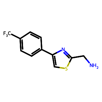 NCc1nc(-c2ccc(C(F)(F)F)cc2)cs1